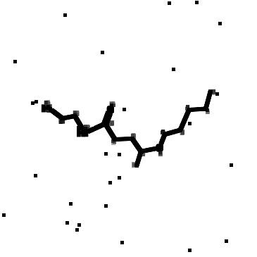 CCCCCOC(C)CCC(=O)NCCS